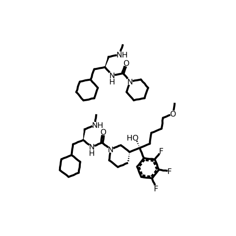 CNC[C@H](CC1CCCCC1)NC(=O)N1CCCCC1.CNC[C@H](CC1CCCCC1)NC(=O)N1CCC[C@@H]([C@@](O)(CCCCOC)c2ccc(F)c(F)c2F)C1